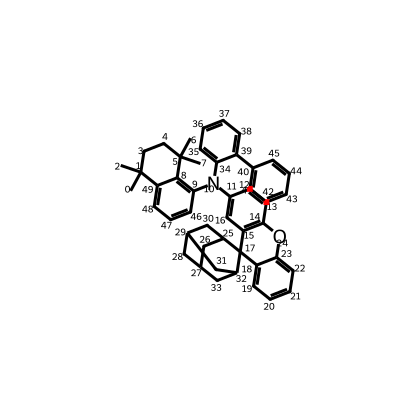 CC1(C)CCC(C)(C)c2c(N(c3ccc4c(c3)C3(c5ccccc5O4)C4CC5CC(C4)CC3C5)c3ccccc3-c3ccccc3)cccc21